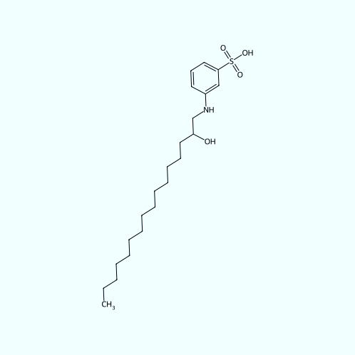 CCCCCCCCCCCCCCC(O)CNc1cccc(S(=O)(=O)O)c1